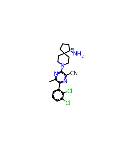 Cc1nc(N2CCC3(CCC[C@H]3N)CC2)c(C#N)nc1-c1cccc(Cl)c1Cl